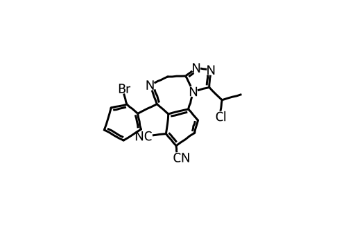 CC(Cl)c1nnc2n1-c1ccc(C#N)c(C#N)c1C(c1ccccc1Br)=NC2